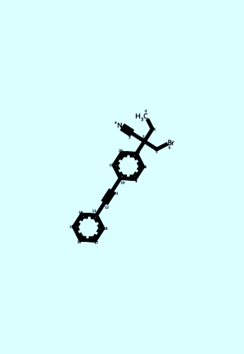 CCC(C#N)(CBr)c1ccc(C#Cc2ccccc2)cc1